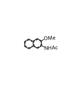 COc1cc2ccccc2cc1NC(C)=O